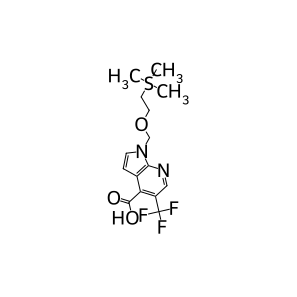 CS(C)(C)CCOCn1ccc2c(C(=O)O)c(C(F)(F)F)cnc21